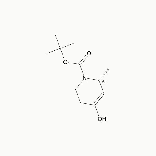 C[C@@H]1C=C(O)CCN1C(=O)OC(C)(C)C